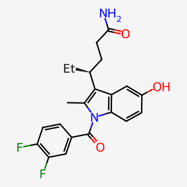 CC[C@@H](CCC(N)=O)c1c(C)n(C(=O)c2ccc(F)c(F)c2)c2ccc(O)cc12